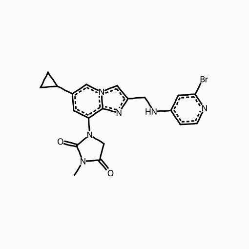 CN1C(=O)CN(c2cc(C3CC3)cn3cc(CNc4ccnc(Br)c4)nc23)C1=O